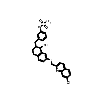 O=S(=O)(Nc1cccc(CC2CCc3ccc(OCc4ccc5ccc(Cl)cc5n4)cc3C2O)c1)C(F)(F)F